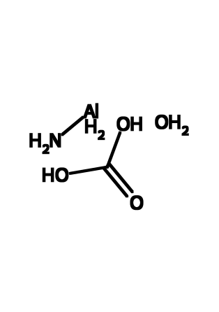 O.O=C(O)O.[NH2][AlH2]